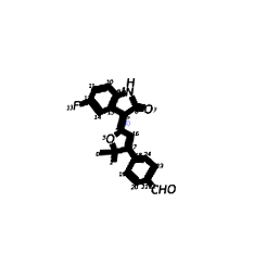 CC1(C)O/C(=C2/C(=O)Nc3ccc(F)cc32)C=C1c1ccc(C=O)cc1